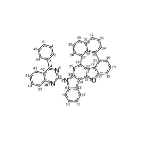 c1ccc(-c2nc(-n3c4ccccc4c4c5oc6cccc7c6c5c(cc43)-c3cccc4cccc-7c34)nc3ccccc23)cc1